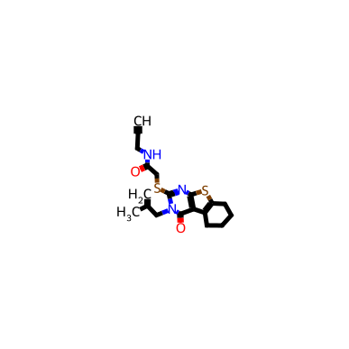 C#CCNC(=O)CSc1nc2sc3c(c2c(=O)n1CC(=C)C)CCCC3